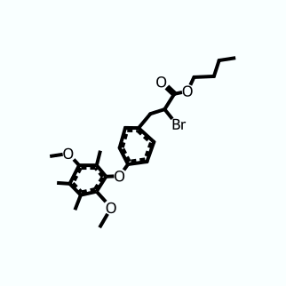 CCCCOC(=O)C(Br)Cc1ccc(Oc2c(C)c(OC)c(C)c(C)c2OC)cc1